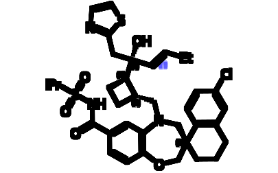 CC/C=C/[C@](O)(Cc1nccs1)[C@@H]1CC[C@H]1CN1C[C@@]2(CCCc3cc(Cl)ccc32)COc2ccc(C(=O)NS(=O)(=O)C(C)C)cc21